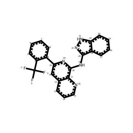 FC(F)(F)c1ccccc1-c1cc2cccnc2c(Nc2n[nH]c3ccccc23)n1